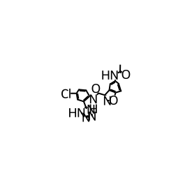 CC(=O)Nc1ccc2onc(C(=O)Nc3ccc(Cl)cc3-c3nnn[nH]3)c2c1